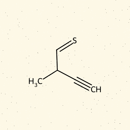 C#CC(C)C=S